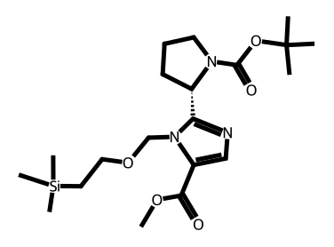 COC(=O)c1cnc([C@@H]2CCCN2C(=O)OC(C)(C)C)n1COCC[Si](C)(C)C